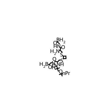 BC(=O)CNC(=O)C(N)CSC1CCC1SCC(NC(=O)C(C)(C)COC(C)(C)CCC)C(=O)NCC(B)=O